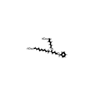 CCCCCCCCCCCCCCCCCCOC[C@H](CCCOCc1ccccc1)OCCCCCCCCCCCCCCCC